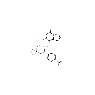 COc1cc(C)c2[nH]ccc2c1CN1CCC2(CCO2)C[C@H]1c1ccc(C(=O)O)cc1